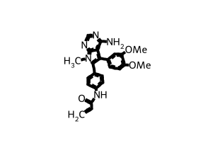 C=CC(=O)Nc1ccc(-c2c(-c3ccc(OC)c(OC)c3)c3c(N)ncnc3n2C)cc1